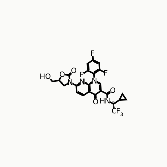 O=C(N[C@@H](C1CC1)C(F)(F)F)c1cn(-c2c(F)cc(F)cc2F)c2nc(N3CC(CO)OC3=O)ccc2c1=O